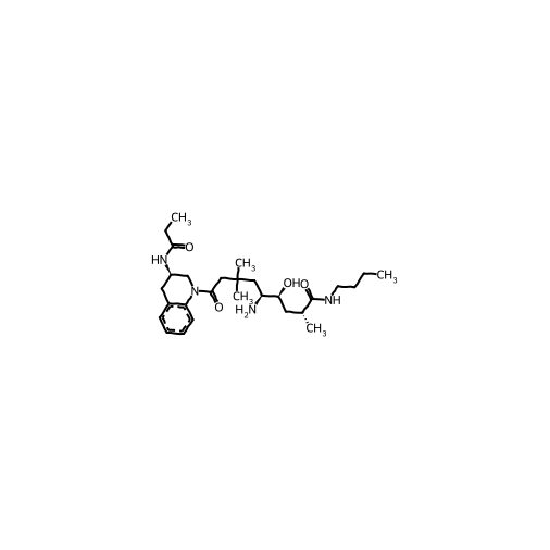 CCCCNC(=O)[C@H](C)C[C@H](O)[C@@H](N)CC(C)(C)CC(=O)N1C[C@H](NC(=O)CC)Cc2ccccc21